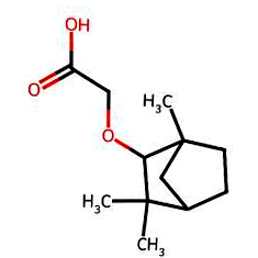 CC12CCC(C1)C(C)(C)C2OCC(=O)O